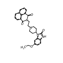 CCOc1ccc2[nH]c(=O)n(C3CCN(CCN4C(=O)c5cccc6cccc(c56)C4=O)CC3)c2c1